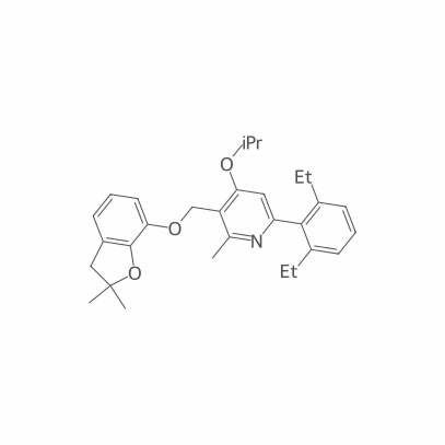 CCc1cccc(CC)c1-c1cc(OC(C)C)c(COc2cccc3c2OC(C)(C)C3)c(C)n1